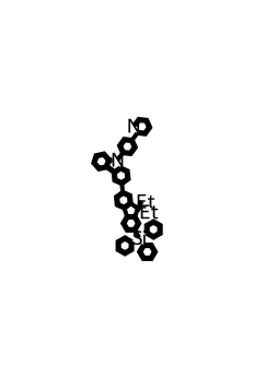 CCC1(CC)c2cc(-c3ccc4c(c3)c3ccccc3n4-c3ccc(-c4ccccn4)cc3)ccc2-c2ccc([Si](c3ccccc3)(c3ccccc3)c3ccccc3)cc21